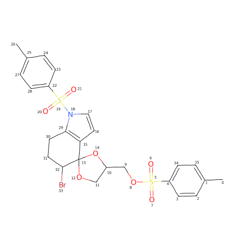 Cc1ccc(S(=O)(=O)OCC2COC3(O2)c2ccn(S(=O)(=O)c4ccc(C)cc4)c2CCC3Br)cc1